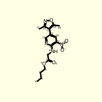 CCCCOC(=O)CNc1ncc(-c2c(C)noc2C)cc1[N+](=O)[O-]